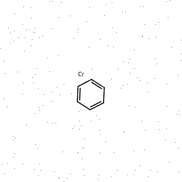 [Cr].c1ccccc1